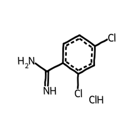 Cl.N=C(N)c1ccc(Cl)cc1Cl